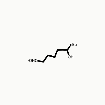 CCCCC(O)CCCC[C]=O